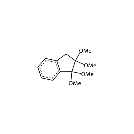 COC1(OC)Cc2ccccc2C1(OC)OC